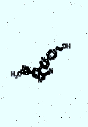 Cn1cc(-c2cc(-c3ccc(N4CCN(CCO)CC4)nc3)c3c(C#N)cnn3c2)cn1